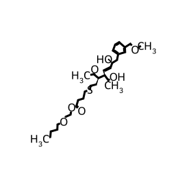 CCCCCOCCOC(=O)CCCSCC[C@@H](C(C)=O)[C@@H](/C=C/[C@@H](O)Cc1cccc(COC)c1)[C@@H](C)O